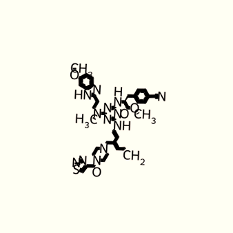 C=C/C=C(\C=C\Nc1nc(N[C@@H](Cc2ccc(C#N)cc2)C(=O)OC)nc(N(C)CCc2nc3ccc(OC)cc3[nH]2)n1)CN1CCN(C(=O)c2csnn2)CC1